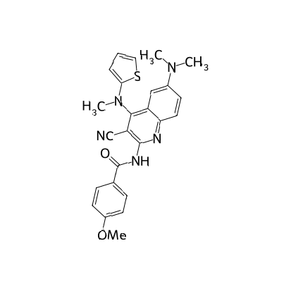 COc1ccc(C(=O)Nc2nc3ccc(N(C)C)cc3c(N(C)c3cccs3)c2C#N)cc1